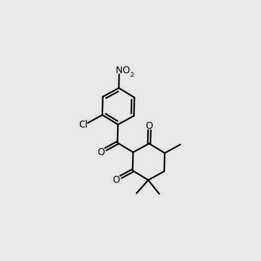 CC1CC(C)(C)C(=O)C(C(=O)c2ccc([N+](=O)[O-])cc2Cl)C1=O